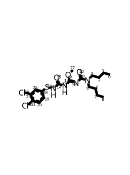 CCCCN(CCCC)C(=O)N=C(NC(=O)NSc1ccc(Cl)c(Cl)c1)OC